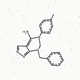 Cc1ccc(N2CN(Cc3ccccc3)C3=NN=CC3=C2N)cc1